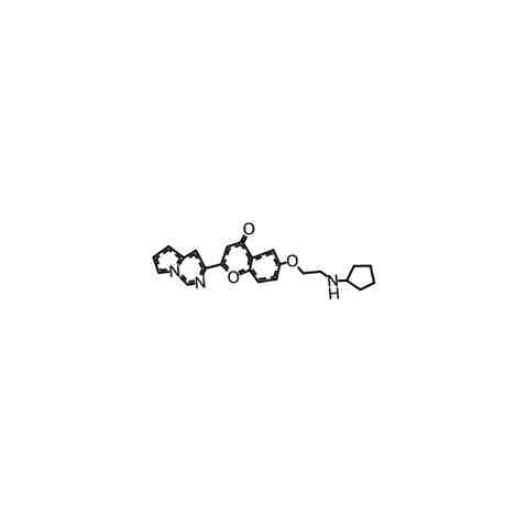 O=c1cc(-c2cc3cccn3cn2)oc2ccc(OCCNC3CCCC3)cc12